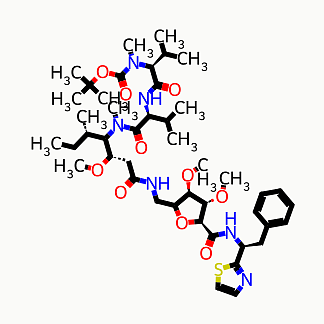 CC[C@H](C)C([C@H](CC(=O)NCC1O[C@H](C(=O)N[C@@H](Cc2ccccc2)c2nccs2)[C@@H](OC)[C@@H]1OC)OC)N(C)C(=O)[C@@H](NC(=O)[C@H](C(C)C)N(C)C(=O)OC(C)(C)C)C(C)C